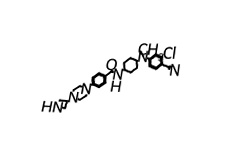 CN(c1ccc(C#N)c(Cl)c1)[C@H]1CC[C@H](NC(=O)c2ccc(N3CCN(C4CNC4)CC3)cc2)CC1